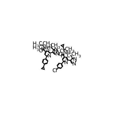 CC(C)c1ncncc1-c1cc(C(=O)NC(C)(C)C)cc(-c2ccc(C3CC3)cc2)n1.CC(C)c1ncncc1-c1cc(C(=O)NC(C)(C)C2CC2)cc(-c2ccc(Cl)cc2)n1